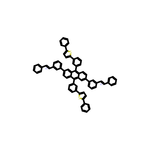 C(=C\c1cccc(-c2ccc3c(-c4cccc(-c5ccc(-c6ccccc6)s5)c4)c4cc(-c5cccc(/C=C/c6ccccc6)c5)ccc4c(-c4cccc(-c5ccc(-c6ccccc6)s5)c4)c3c2)c1)/c1ccccc1